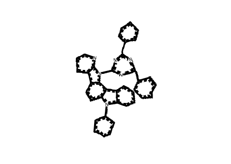 c1ccc(-c2nc(-c3ccccc3)nc(-n3c4ncccc4c4ccc5c(c6ccccc6n5-c5ccccc5)c43)n2)cc1